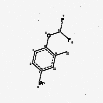 C[C](C)c1ccc(OC(F)F)c(C)c1